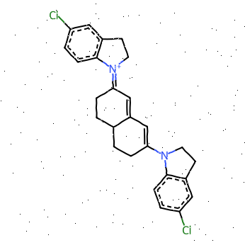 Clc1ccc2c(c1)CCN2C1=CC2=C/C(=[N+]3\CCc4cc(Cl)ccc43)CCC2CC1